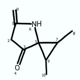 C=C1CC(=O)C2(N1)C(C)C2C